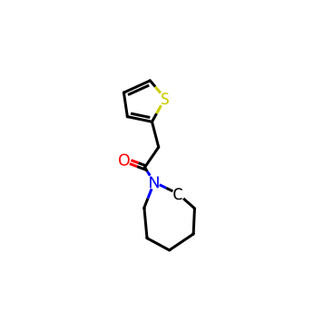 O=C(Cc1cccs1)N1CCCCCC1